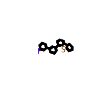 Ic1cccc(-c2cccc(-c3cccc4c3sc3ccccc34)c2)c1